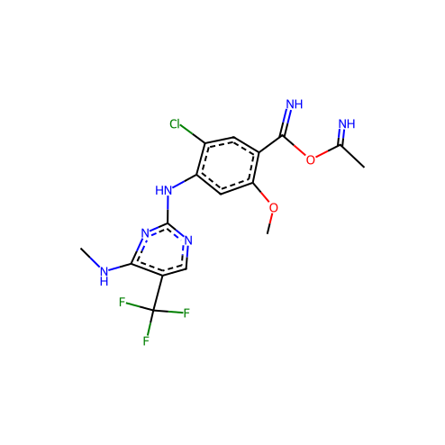 CNc1nc(Nc2cc(OC)c(C(=N)OC(C)=N)cc2Cl)ncc1C(F)(F)F